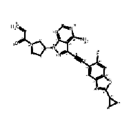 C=CC(=O)N1CC[C@H](n2nc(C#Cc3cc4nc(C5CC5)oc4cc3F)c3c(N)ncnc32)C1